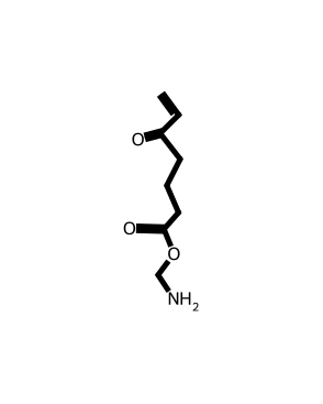 C=CC(=O)CCCC(=O)OCN